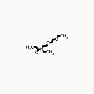 C=CC(=O)N(CC)CCOCCOCC